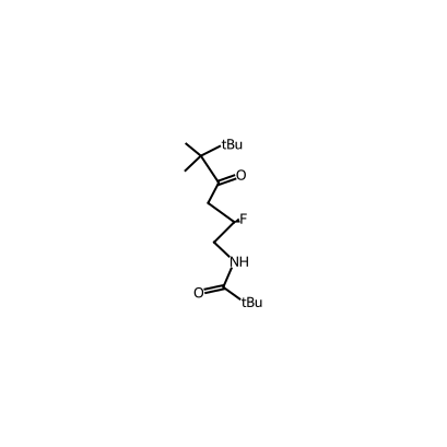 CC(C)(C)C(=O)NC[C@H](F)CC(=O)C(C)(C)C(C)(C)C